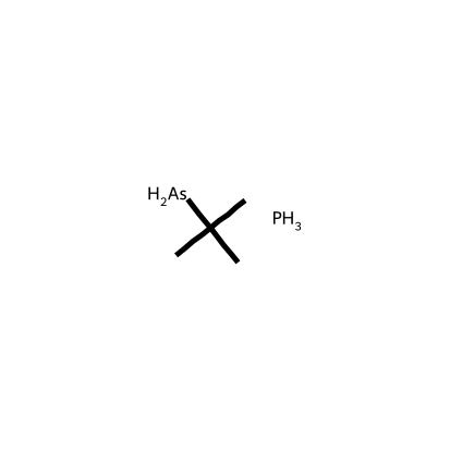 CC(C)(C)[AsH2].P